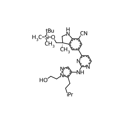 CC(C)CCc1c(Nc2nccc(-c3cc(C#N)c4c(c3)[C@@](C)(CO[Si](C)(C)C(C)(C)C)CN4)n2)cnn1CCO